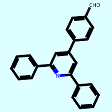 O=Cc1ccc(-c2cc(-c3ccccc3)nc(-c3ccccc3)c2)cc1